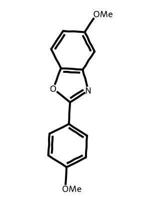 COc1ccc(-c2nc3cc(OC)ccc3o2)cc1